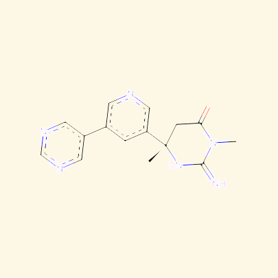 CN1C(=N)N[C@](C)(c2cncc(-c3cncnc3)c2)CC1=O